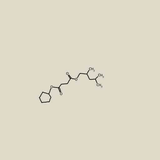 CC(C)CC(C)COC(=O)CCC(=O)OC1CCCCC1